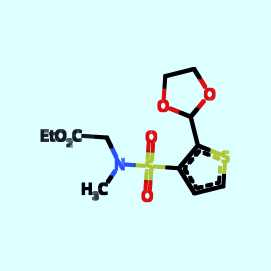 CCOC(=O)CN(C)S(=O)(=O)c1ccsc1C1OCCO1